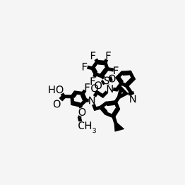 CCOc1cc(C(=O)O)cc(F)c1N(Cc1cc(C2CC2)cc(C2CC2)c1)C(=O)CN(Cc1ccccc1C#N)S(=O)(=O)c1c(F)c(F)c(F)c(F)c1F